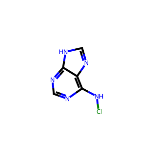 ClNc1ncnc2[nH]cnc12